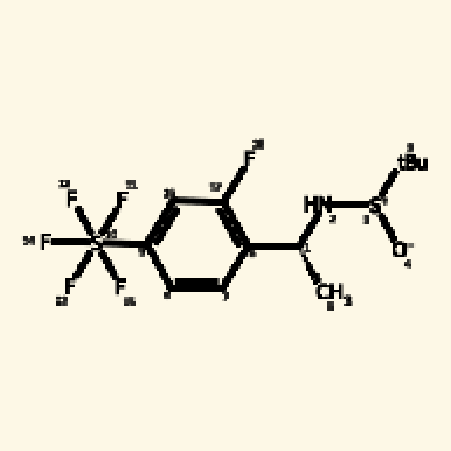 C[C@@H](N[S+]([O-])C(C)(C)C)c1ccc(S(F)(F)(F)(F)F)cc1F